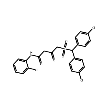 O=C(CC(=O)Nc1ccccc1Cl)CS(=O)(=O)C(c1ccc(Cl)cc1)c1ccc(Cl)cc1